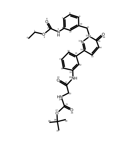 CCOC(=O)Nc1cccc(Cn2nc(-c3cccc(NC(=O)CNC(=O)OC(C)(C)C)c3)ccc2=O)c1